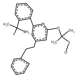 BC(C)(F)c1ccccc1-c1cc(CCc2ccccc2)cc(OC(C)(C)SCl)n1